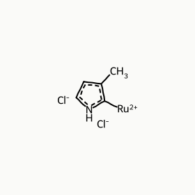 Cc1cc[nH][c]1[Ru+2].[Cl-].[Cl-]